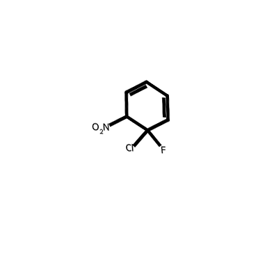 O=[N+]([O-])C1C=CC=CC1(F)Cl